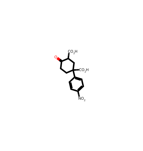 O=C(O)C1CC(C(=O)O)(c2ccc([N+](=O)[O-])cc2)CCC1=O